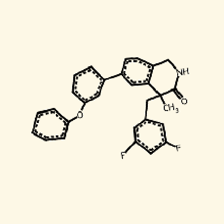 CC1(Cc2cc(F)cc(F)c2)C(=O)NCc2ccc(-c3cccc(Oc4ccccc4)c3)cc21